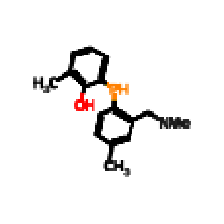 CNCc1cc(C)ccc1Pc1cccc(C)c1O